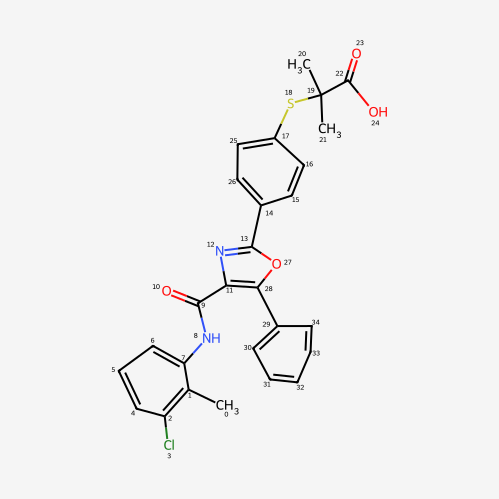 Cc1c(Cl)cccc1NC(=O)c1nc(-c2ccc(SC(C)(C)C(=O)O)cc2)oc1-c1ccccc1